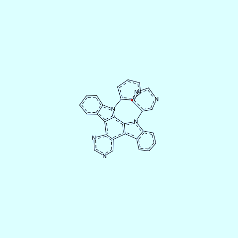 c1ccc(-n2c3ccccc3c3c4ncncc4c4c5ccccc5n(-c5cncnc5)c4c32)cc1